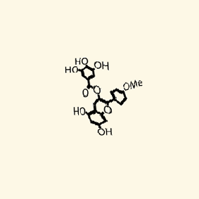 COc1ccc(C2=C(OC(=O)c3cc(O)c(O)c(O)c3)Cc3c(O)cc(O)cc3O2)cc1